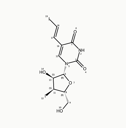 O=c1[nH]c(=O)n([C@@H]2O[C@H](CO)[C@@H](I)[C@H]2O)cc1C=CI